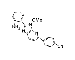 COn1c(-c2cccnc2N)nc2ccc(-c3ccc(C#N)cc3)nc21